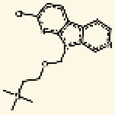 C[Si](C)(C)CCOCn1c2cnccc2c2ccc(Cl)nc21